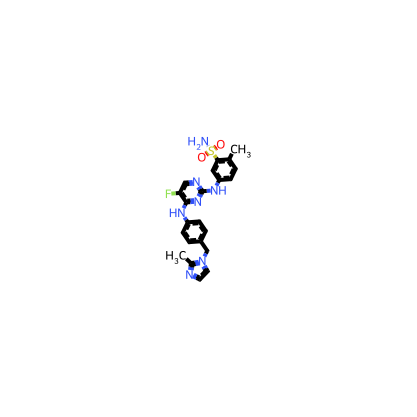 Cc1ccc(Nc2ncc(F)c(Nc3ccc(Cn4ccnc4C)cc3)n2)cc1S(N)(=O)=O